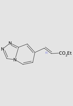 CCOC(=O)/C=C/c1ccn2cnnc2c1